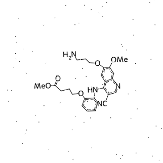 COC(=O)CCCOc1ccccc1Nc1c(C#N)cnc2cc(OC)c(OCCCN)cc12